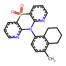 Cc1ccc(N2c3ncccc3S(=O)(=O)c3cccnc32)c2c1CCCC2